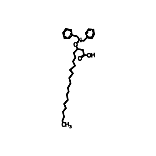 CCCCCCCCCCCCCCCCCCC(CC(=O)O)ON(Cc1ccccc1)Cc1ccccc1